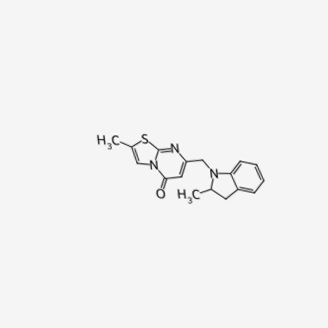 Cc1cn2c(=O)cc(CN3c4ccccc4CC3C)nc2s1